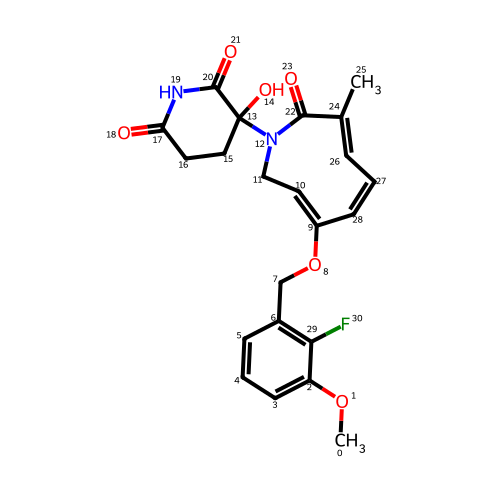 COc1cccc(COC2=C\CN(C3(O)CCC(=O)NC3=O)C(=O)/C(C)=C/C=C\2)c1F